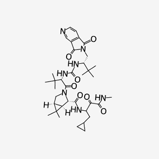 CNC(=O)C(=O)C(CC1CC1)NC(=O)[C@@H]1[C@@H]2[C@H](CN1C(=O)[C@@H](NC(=O)N[C@H](CN1C(=O)c3ccncc3C1=O)C(C)(C)C)C(C)(C)C)C2(C)C